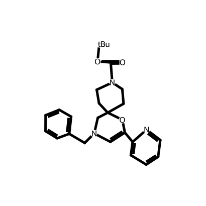 CC(C)(C)OC(=O)N1CCC2(CC1)CN(Cc1ccccc1)C=C(c1ccccn1)O2